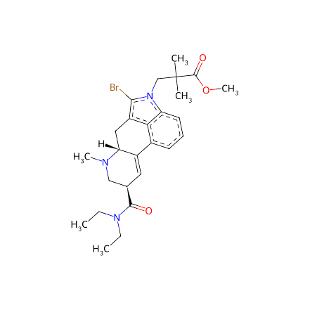 CCN(CC)C(=O)[C@@H]1C=C2c3cccc4c3c(c(Br)n4CC(C)(C)C(=O)OC)C[C@H]2N(C)C1